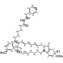 CCC1(OC)C=CC2=C(C1)C(C)C(CC=CC=CC=CC1=[N+](CCCCCC(=O)NNCc3ccncc3)c3ccc(OC)cc3C1(C)CC)N2CCCCCC(=O)O